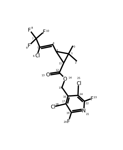 CC1(C)C(C=C(Cl)C(F)(F)F)C1C(=O)OCc1c(Cl)c(F)nc(F)c1Cl